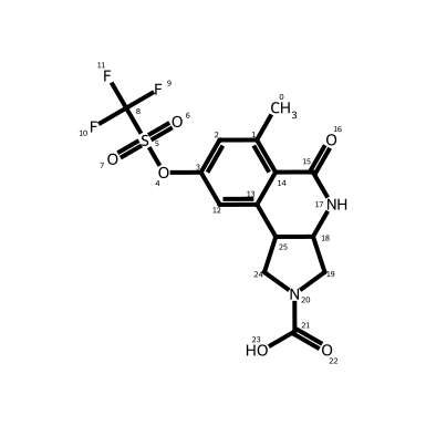 Cc1cc(OS(=O)(=O)C(F)(F)F)cc2c1C(=O)NC1CN(C(=O)O)CC21